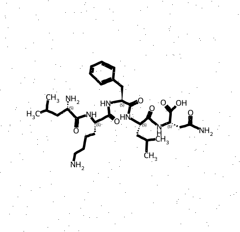 CC(C)C[C@H](NC(=O)[C@H](Cc1ccccc1)NC(=O)[C@H](CCCCN)NC(=O)[C@@H](N)CC(C)C)C(=O)N[C@@H](CC(N)=O)C(=O)O